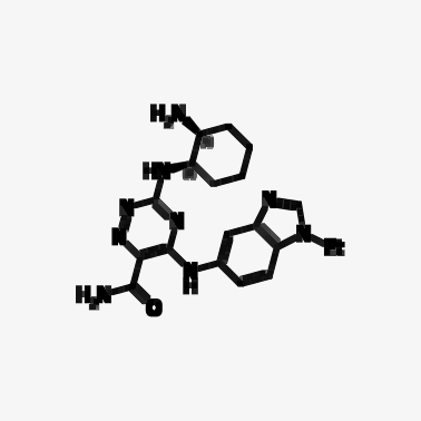 CCn1cnc2cc(Nc3nc(N[C@@H]4CCCC[C@@H]4N)nnc3C(N)=O)ccc21